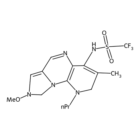 CCCN1CC(C)=C(NS(=O)(=O)C(F)(F)F)C2=C1N1CN(OC)C=C1C=N2